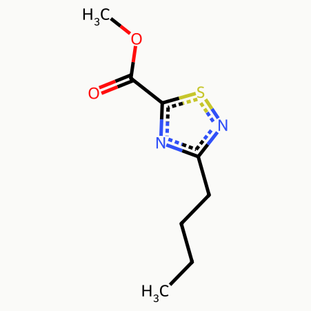 CCCCc1nsc(C(=O)OC)n1